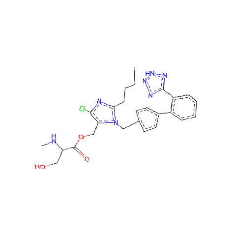 CCCCc1nc(Cl)c(COC(=O)C(CO)NC)n1Cc1ccc(-c2ccccc2-c2nn[nH]n2)cc1